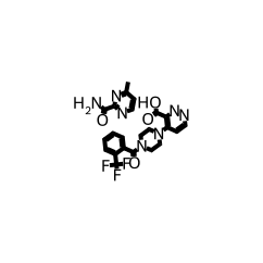 Cc1ccnc(C(N)=O)n1.O=C(O)c1nnccc1N1CCN(C(=O)c2ccccc2C(F)(F)F)CC1